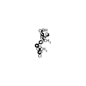 C[C@H](c1nc2sc(C(=O)O)cc2n1C[C@@H]1CCO1)N1CCC(c2cccc3c2O[C@@](C)(c2ccc(Cl)cn2)O3)CC1